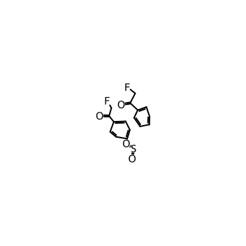 O=C(CF)c1ccccc1.O=C(CF)c1ccccc1.O=S=O